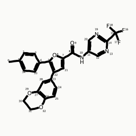 Cc1ccc(-c2oc(C(=O)Nc3cnc(C(F)(F)F)nc3)cc2-c2ccc3c(c2)OCCO3)cc1